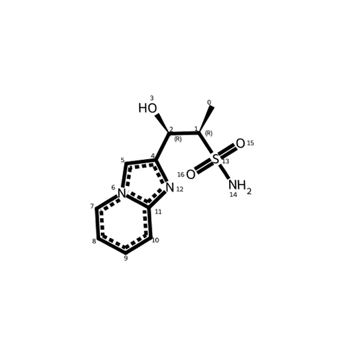 C[C@H]([C@H](O)c1cn2ccccc2n1)S(N)(=O)=O